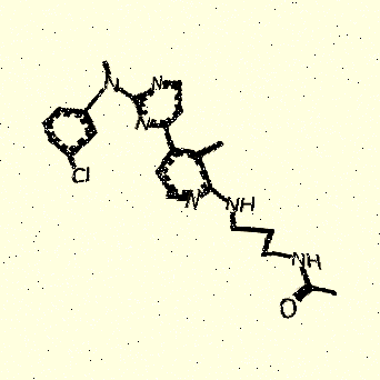 CC(=O)NCCCNc1nccc(-c2ccnc(N(C)c3cccc(Cl)c3)n2)c1C